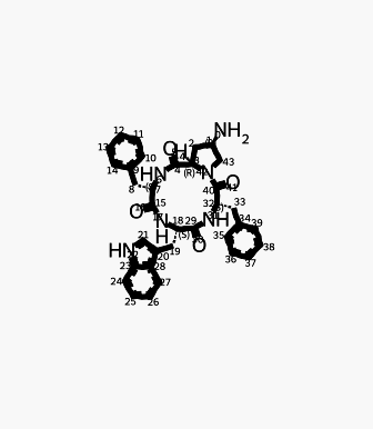 N[C@@H]1C[C@@H]2C(=O)N[C@@H](Cc3ccccc3)C(=O)N[C@@H](Cc3c[nH]c4ccccc34)C(=O)N[C@@H](Cc3ccccc3)C(=O)N2C1